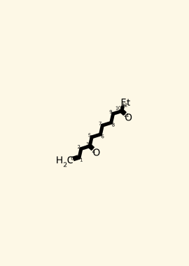 C=CCC(=O)CCCCCC(=O)CC